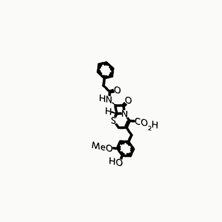 COc1cc(CC2=C(C(=O)O)N3C(=O)[C@@H](NC(=O)Cc4ccccc4)[C@H]3SC2)ccc1O